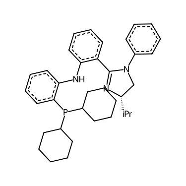 CC(C)[C@H]1CN(c2ccccc2)C(c2ccccc2Nc2ccccc2P(C2CCCCC2)C2CCCCC2)=N1